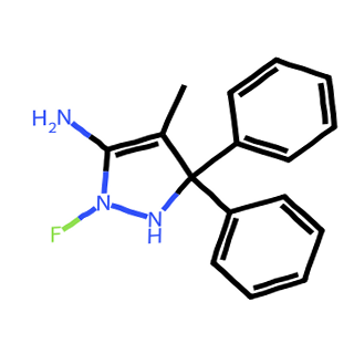 CC1=C(N)N(F)NC1(c1ccccc1)c1ccccc1